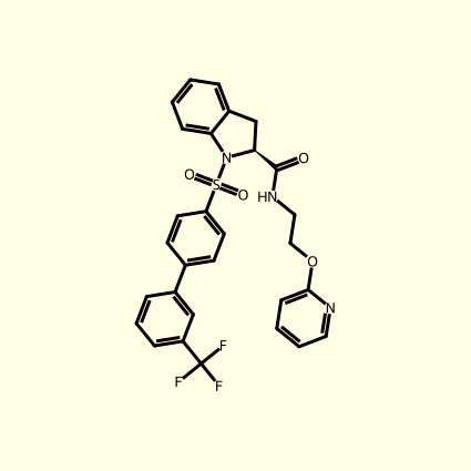 O=C(NCCOc1ccccn1)[C@@H]1Cc2ccccc2N1S(=O)(=O)c1ccc(-c2cccc(C(F)(F)F)c2)cc1